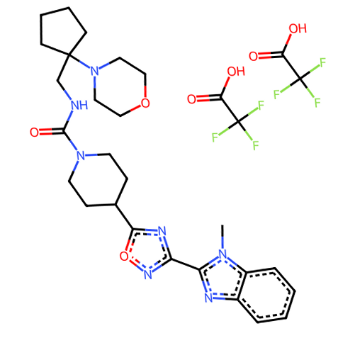 Cn1c(-c2noc(C3CCN(C(=O)NCC4(N5CCOCC5)CCCC4)CC3)n2)nc2ccccc21.O=C(O)C(F)(F)F.O=C(O)C(F)(F)F